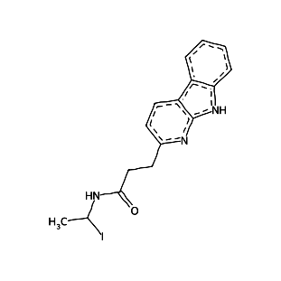 CC(I)NC(=O)CCc1ccc2c(n1)[nH]c1ccccc12